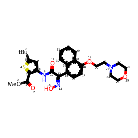 COC(=O)c1sc(C(C)(C)C)cc1NC(=O)/C(=N\O)c1ccc(OCCN2CCOCC2)c2ccccc12